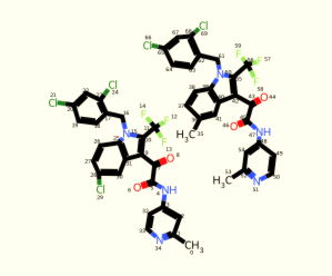 Cc1cc(NC(=O)C(=O)c2c(C(F)(F)F)n(Cc3ccc(Cl)cc3Cl)c3ccc(Cl)cc23)ccn1.Cc1ccc2c(c1)c(C(=O)C(=O)Nc1ccnc(C)c1)c(C(F)(F)F)n2Cc1ccc(Cl)cc1Cl